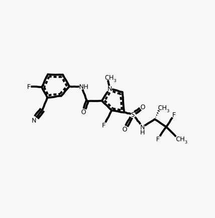 C[C@@H](NS(=O)(=O)c1cn(C)c(C(=O)Nc2ccc(F)c(C#N)c2)c1F)C(C)(F)F